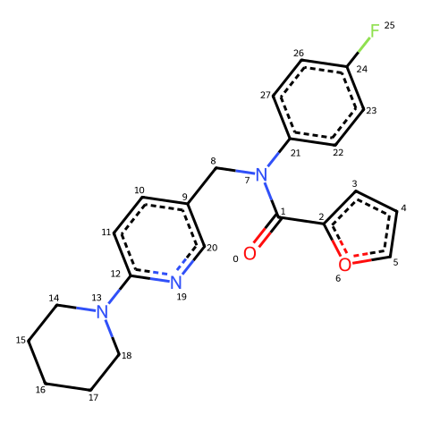 O=C(c1ccco1)N(Cc1ccc(N2CCCCC2)nc1)c1ccc(F)cc1